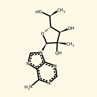 C[C@H](O)[C@H]1O[C@H](n2cnc3c(N)ncnc32)[C@@](C)(O)[C@@H]1O